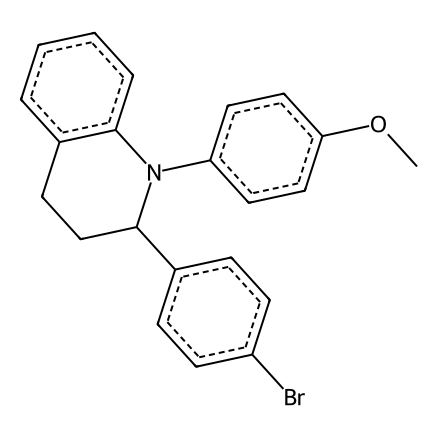 COc1ccc(N2c3ccccc3CCC2c2ccc(Br)cc2)cc1